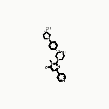 Cn1c(N2CCN[C@@H](c3ccc(N4CC[C@@H](O)C4)cc3)C2)nc(-c2ccncc2)cc1=O